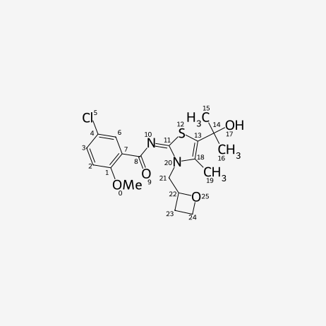 COc1ccc(Cl)cc1C(=O)N=c1sc(C(C)(C)O)c(C)n1CC1CCO1